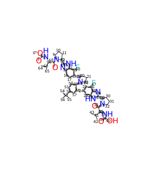 COC(=O)N[C@H](C(=O)N1CCC[C@H]1c1nc2ccc([C@@H]3CC[C@H](c4ccc5[nH]c([C@@H]6CCCN6C(=O)[C@@H](NC(=O)O)C(C)C)nc5c4F)N3c3ccc(C(C)(C)C)cc3)c(F)c2[nH]1)C(C)C